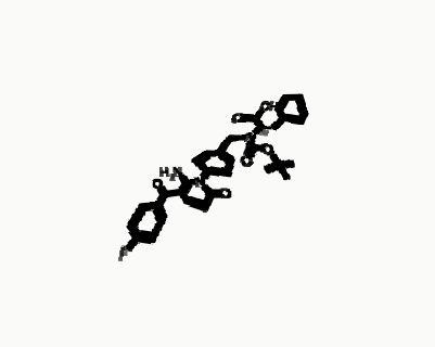 CC(C)(C)OC(=O)N(Cc1ccc(-n2c(N)c(C(=O)c3ccc(F)cc3)ccc2=O)cc1)[C@@H](Cc1ccccc1)C(=O)O